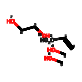 C=CC(=O)O.CO.CO.OCCO